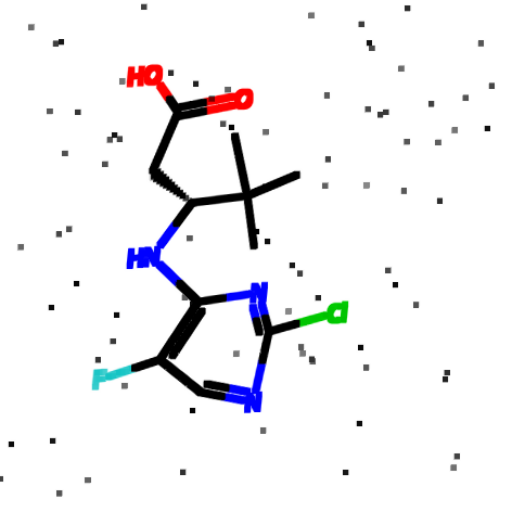 CC(C)(C)[C@@H](CC(=O)O)Nc1nc(Cl)ncc1F